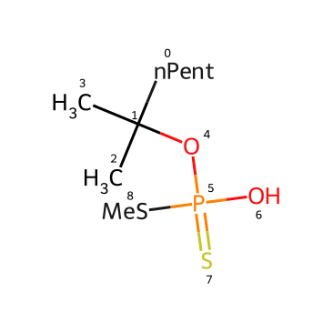 CCCCCC(C)(C)OP(O)(=S)SC